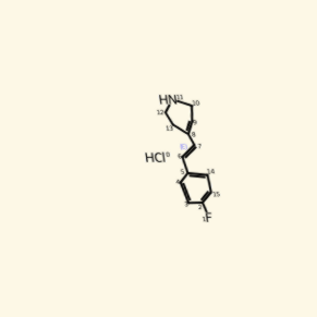 Cl.Fc1ccc(/C=C/C2=CCNCC2)cc1